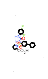 O=C(Nc1ccc(F)cc1F)NC1(S(=O)(=O)N2CCC[C@H]2C(=O)O)C=CC(c2ccccc2)=CC1